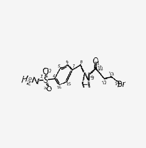 NS(=O)(=O)c1ccc(CNC(=O)CCBr)cc1